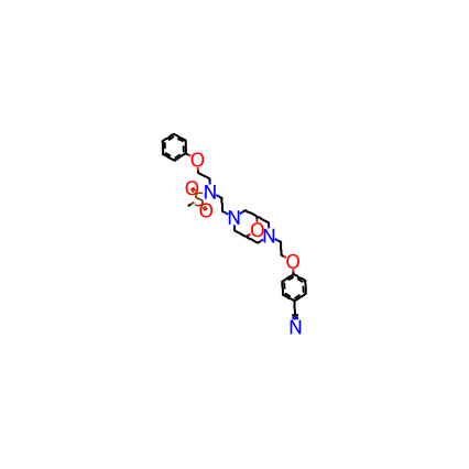 CS(=O)(=O)N(CCOc1ccccc1)CCN1CC2CN(CCOc3ccc(C#N)cc3)CC(C1)O2